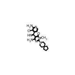 Cn1c(N2CCC3(CCCC3)CC2)nc(N)c(C(=N)c2ccnc(N)c2Cl)c1=O